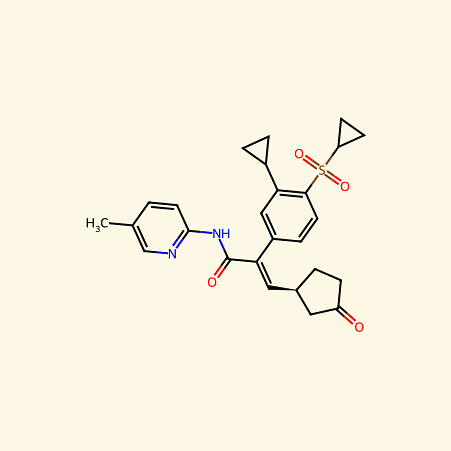 Cc1ccc(NC(=O)/C(=C/[C@H]2CCC(=O)C2)c2ccc(S(=O)(=O)C3CC3)c(C3CC3)c2)nc1